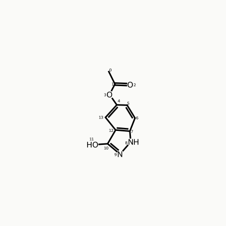 CC(=O)Oc1ccc2[nH]nc(O)c2c1